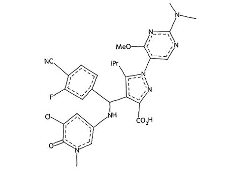 COc1nc(N(C)C)ncc1-n1nc(C(=O)O)c(C(Nc2cc(Cl)c(=O)n(C)c2)c2ccc(C#N)c(F)c2)c1C(C)C